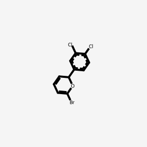 Clc1ccc(C2C=CC=C(Br)O2)cc1Cl